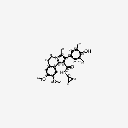 COc1cc2c(cc1OC)-c1c(C(=O)NC3CC3)c(-c3cc(C)c(O)c(C)c3)c(C)n1CC2